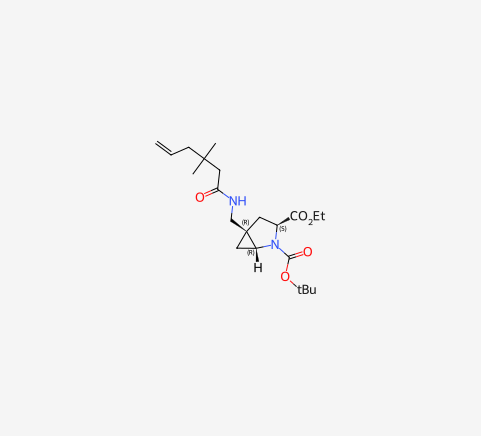 C=CCC(C)(C)CC(=O)NC[C@@]12C[C@@H](C(=O)OCC)N(C(=O)OC(C)(C)C)[C@@H]1C2